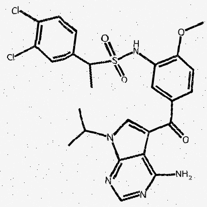 COc1ccc(C(=O)c2cn(C(C)C)c3ncnc(N)c23)cc1NS(=O)(=O)C(C)c1ccc(Cl)c(Cl)c1